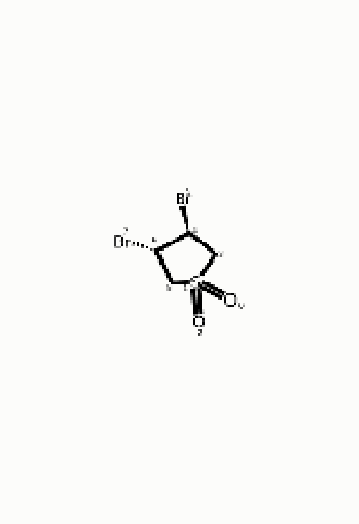 O=S1(=O)C[C@H](Br)[C@@H](Br)C1